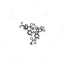 [2H]C([2H])([2H])CC(=O)c1cnc(NC(=O)C2CC2)cc1Nc1nccc2c1N(C)[C@H](C)c1nn(C(F)F)nc1-2